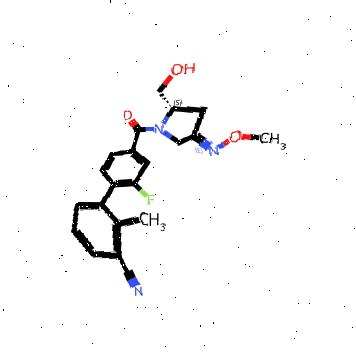 CO/N=C1\C[C@@H](CO)N(C(=O)c2ccc(-c3cccc(C#N)c3C)c(F)c2)C1